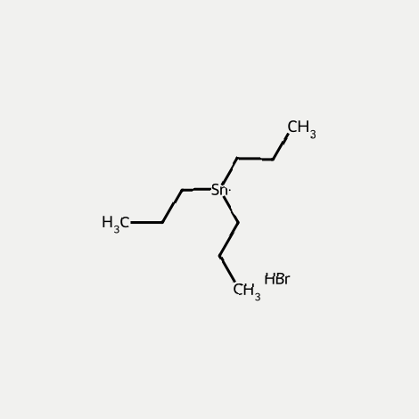 Br.CC[CH2][Sn]([CH2]CC)[CH2]CC